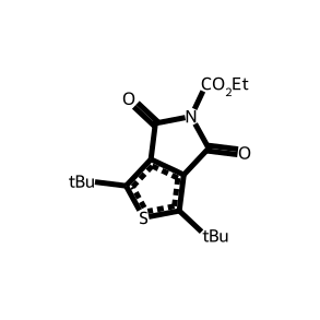 CCOC(=O)N1C(=O)c2c(C(C)(C)C)sc(C(C)(C)C)c2C1=O